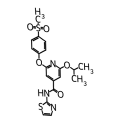 CC(C)Oc1cc(C(=O)Nc2nccs2)cc(Oc2ccc(S(C)(=O)=O)cc2)n1